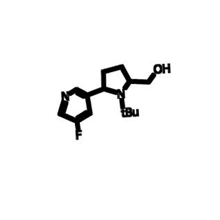 CC(C)(C)N1C(CO)CCC1c1cncc(F)c1